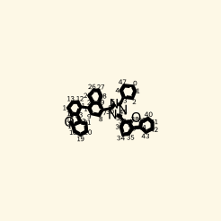 c1ccc(-c2nc(-c3ccc(-c4cccc5oc6ccccc6c45)c4ccccc34)nc(-c3cccc4c3oc3ccccc34)n2)cc1